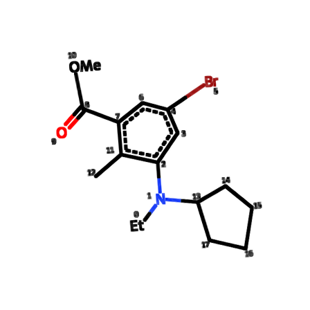 CCN(c1cc(Br)cc(C(=O)OC)c1C)C1CCCC1